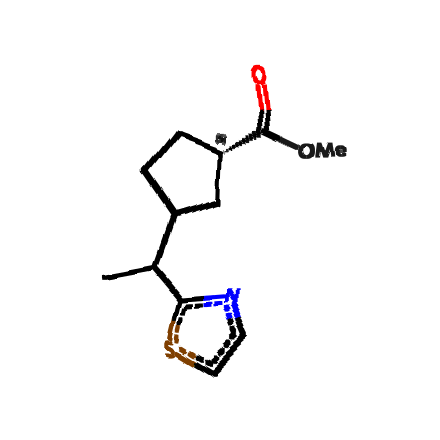 COC(=O)[C@H]1CCC(C(C)c2nccs2)C1